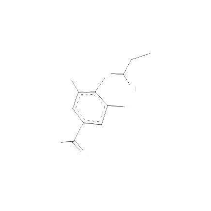 CCC(Cl)Oc1c(Cl)cc(C(C)=O)cc1Cl